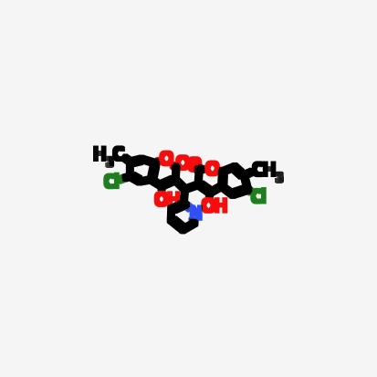 Cc1cc2oc(=O)c(C(c3ccccn3)c3c(O)c4cc(Cl)c(C)cc4oc3=O)c(O)c2cc1Cl